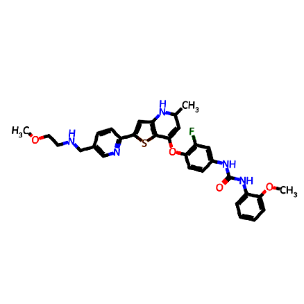 COCCNCc1ccc(-c2cc3c(s2)C(Oc2ccc(NC(=O)Nc4ccccc4OC)cc2F)=CC(C)N3)nc1